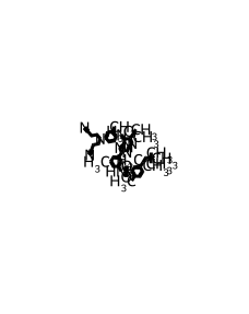 Cc1cc(NS(=O)(=O)c2cc(C(C)(C)CC(C)(C)C)ccc2C)cc(-c2nc3n(n2)N=C(C(C)(C)C)/C3=N/c2ccc(N(CCC#N)CCC#N)cc2C)c1